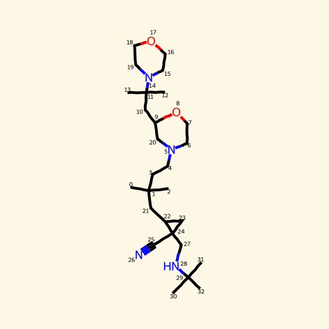 CC(C)(CCN1CCOC(CC(C)(C)N2CCOCC2)C1)CC1CC1(C#N)CNC(C)(C)C